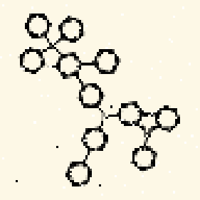 c1ccc(-c2ccc(N(c3ccc(-c4cc5c(cc4-c4ccccc4)C(c4ccccc4)(c4ccccc4)c4ccccc4-5)cc3)c3ccc4c5ccccc5n(-c5ccccc5)c4c3)cc2)cc1